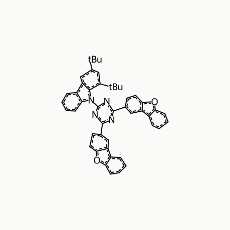 CC(C)(C)c1cc(C(C)(C)C)c2c(c1)c1ccccc1n2-c1nc(-c2ccc3oc4ccccc4c3c2)nc(-c2ccc3oc4ccccc4c3c2)n1